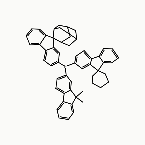 CC1(C)c2ccccc2-c2ccc(N(c3ccc4c(c3)C3(CCCCC3)c3ccccc3-4)c3ccc4c(c3)C3(c5ccccc5-4)C4CC5CC(C4)CC3C5)cc21